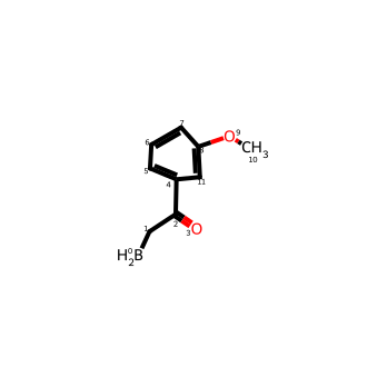 BCC(=O)c1cccc(OC)c1